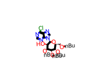 CCCCOC[C@H]1O[C@@H](n2cnc3c(Cl)ncnc32)[C@H](O)[C@H](OCCCC)[C@@H](OCCCC)[C@@H]1OCCCC